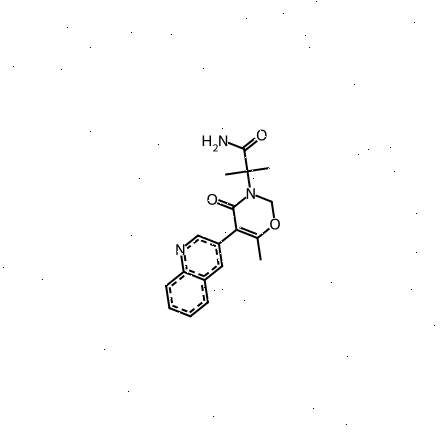 CC1=C(c2cnc3ccccc3c2)C(=O)N(C(C)(C)C(N)=O)CO1